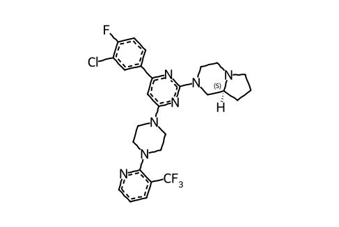 Fc1ccc(-c2cc(N3CCN(c4ncccc4C(F)(F)F)CC3)nc(N3CCN4CCC[C@H]4C3)n2)cc1Cl